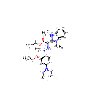 CCOC(=O)/C(=N\N(C)c1ccc(N(CC)CC)cc1OCC)c1n(C)c2ccccc2[n+]1C